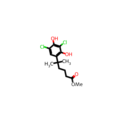 COC(=O)CCCC(C)(C)c1cc(Cl)c(O)c(Cl)c1O